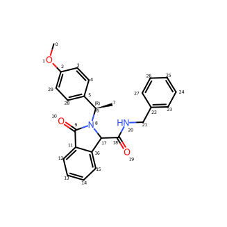 COc1ccc([C@@H](C)N2C(=O)c3ccccc3C2C(=O)NCc2ccccc2)cc1